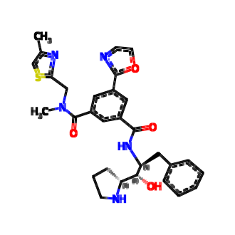 Cc1csc(CN(C)C(=O)c2cc(C(=O)N[C@@H](Cc3ccccc3)[C@H](O)[C@H]3CCCN3)cc(-c3ncco3)c2)n1